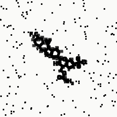 CCS(=O)(=O)c1ccc(C(COC(N)=O)NC(=O)c2ccc3c(c2)nc(CC2CCC(C(F)(F)F)CC2)n3C2CC2)cc1